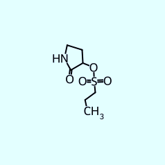 CCCS(=O)(=O)OC1CCNC1=O